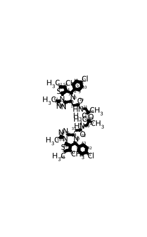 Cc1sc2c(c1C)C(c1ccc(Cl)cc1)=N[C@@H](CC(=O)NCC(C)(C)OC(C)(C)CNC(=O)C[C@@H]1N=C(c3ccc(Cl)cc3)c3c(sc(C)c3C)-n3c(C)nnc31)c1nnc(C)n1-2